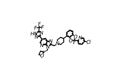 C[C@]1(c2ccc(Cl)cn2)Oc2cccc(C3CCN(Cc4nc5cc(-c6n[nH]c(C(F)(F)F)n6)cnc5n4C[C@@H]4CCO4)CC3)c2O1